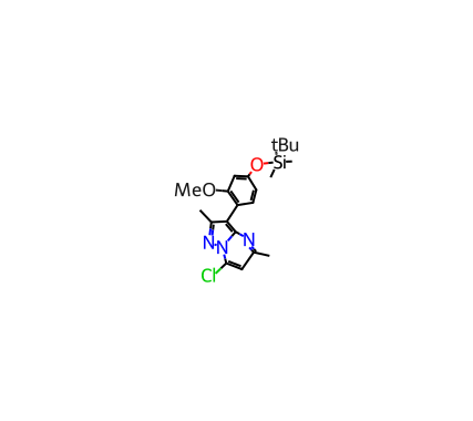 COc1cc(O[Si](C)(C)C(C)(C)C)ccc1-c1c(C)nn2c(Cl)cc(C)nc12